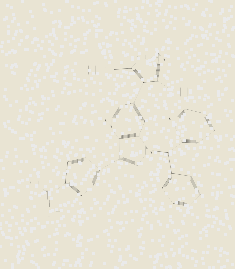 Cc1noc(C)c1-c1cnc2c(-c3ccc(B(O)O)cc3)cn(C(c3ccccc3)c3ccccn3)c2c1